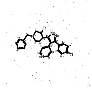 FC1CN(Cc2ccccc2)CCC1c1[nH]nc(-c2ccc(Cl)cc2)c1-c1ccncc1